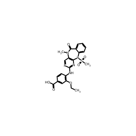 CCOc1cc(C(=O)O)ccc1Nc1ncc2c(n1)N(S(C)(=O)=O)c1ccccc1C(=O)N2C